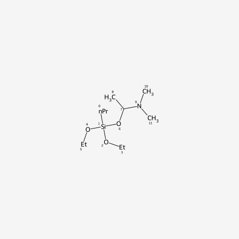 CCC[Si](OCC)(OCC)OC(C)N(C)C